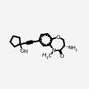 CN1C(=O)[C@@H](N)COc2ccc(C#CC3(O)CCCC3)cc21